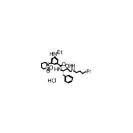 CCNc1cc(C(=O)N[C@@H](Cc2ccccc2)[C@H](O)CNCCCC(C)C)cc(N2CCCCS2(=O)=O)c1.Cl